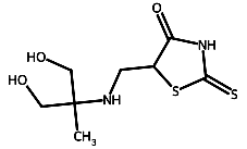 CC(CO)(CO)NCC1SC(=S)NC1=O